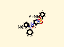 CC(=O)Nc1ccccc1CS(=O)(=O)N1CCC(NC(=O)N(c2cccc(C#N)c2)C2CCCCCC2)CC1